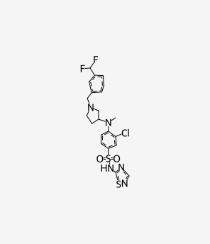 CN(c1ccc(S(=O)(=O)Nc2ncns2)cc1Cl)C1CCN(Cc2cccc(C(F)F)c2)C1